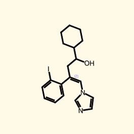 OC(C/C(=C/n1ccnc1)c1ccccc1I)C1CCCCC1